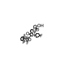 O=C(NC(c1c(F)cccc1F)C(F)(F)F)c1cn(-c2ccc(F)cc2F)c2nc(N3CCC(O)C3=O)ccc2c1=O